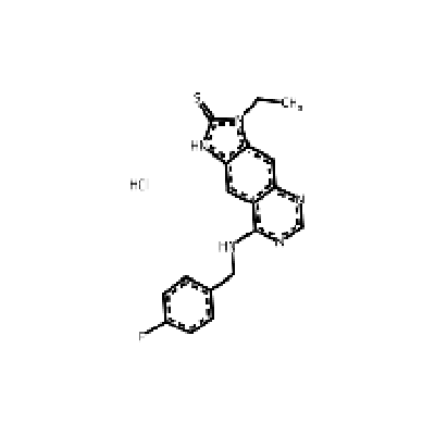 CCn1c(=S)[nH]c2cc3c(NCc4ccc(F)cc4)ncnc3cc21.Cl